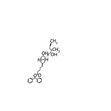 CC#CCC(C)[C@H](O)/C=C/[C@@H]1[C@H]2C/C(=C/CCCC(=O)OC(c3ccccc3)c3ccccc3)C[C@H]2C[C@H]1O